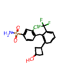 NS(=O)(=O)c1ccc(-c2c(C3CC(O)C3)cccc2C(F)(F)F)c(Cl)c1